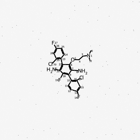 CN(C)CCOc1c(N)c(-c2ccc(F)cc2Cl)c(F)c(N)c1-c1ccc(F)cc1Cl